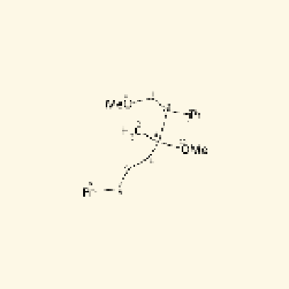 COC[C](C(C)C)C(C)(CCCC(C)C)OC